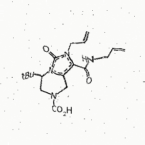 C=CCNC(=O)c1c2n(c(=O)n1CC=C)C(C(C)(C)C)CN(C(=O)O)C2